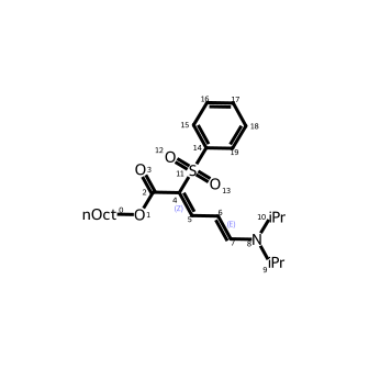 CCCCCCCCOC(=O)/C(=C/C=C/N(C(C)C)C(C)C)S(=O)(=O)c1ccccc1